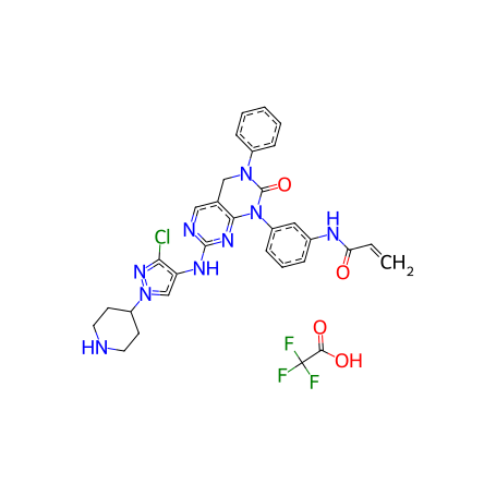 C=CC(=O)Nc1cccc(N2C(=O)N(c3ccccc3)Cc3cnc(Nc4cn(C5CCNCC5)nc4Cl)nc32)c1.O=C(O)C(F)(F)F